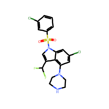 O=S(=O)(c1cccc(Cl)c1)n1cc(C(F)F)c2c(N3CCNCC3)cc(Cl)cc21